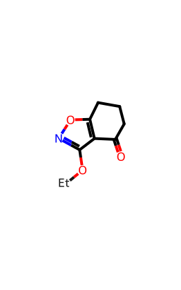 CCOc1noc2c1C(=O)CCC2